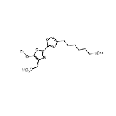 CCCCCCCCCCCCCCCCc1csc(-c2nc(CC(=O)O)c(OCC)o2)c1